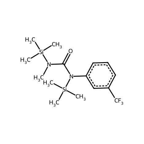 CN(C(=O)N(c1cccc(C(F)(F)F)c1)[Si](C)(C)C)[Si](C)(C)C